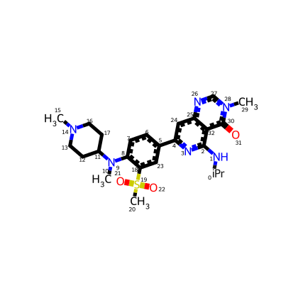 CC(C)Nc1nc(-c2ccc(N(C)C3CCN(C)CC3)c(S(C)(=O)=O)c2)cc2ncn(C)c(=O)c12